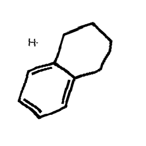 [H].c1ccc2c(c1)CCCC2